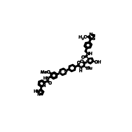 COc1cc(N2CCN(C3CCC(C(=O)N[C@H](C(=O)N4C[C@H](O)C[C@H]4C(=O)NCc4ccc(-c5scnc5C)cc4)C(C)(C)C)CC3)CC2)ccc1NC(=O)c1cccc(-c2ccn[nH]2)n1